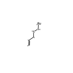 C=CCS[S][Ru]